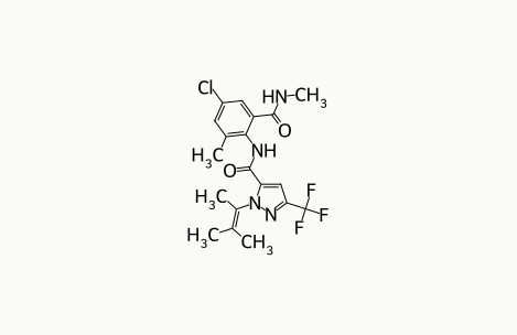 CNC(=O)c1cc(Cl)cc(C)c1NC(=O)c1cc(C(F)(F)F)nn1C(C)=C(C)C